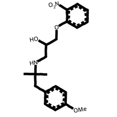 COc1ccc(CC(C)(C)NCC(O)COc2ccccc2[N+](=O)[O-])cc1